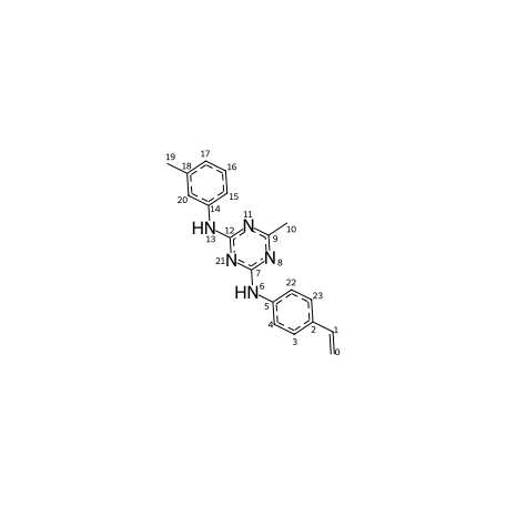 C=Cc1ccc(Nc2nc(C)nc(Nc3cccc(C)c3)n2)cc1